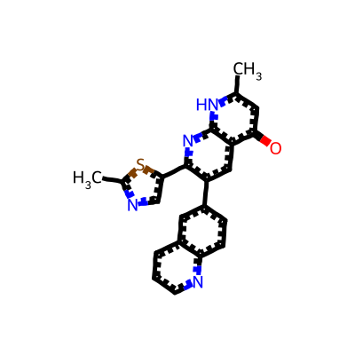 Cc1cc(=O)c2cc(-c3ccc4ncccc4c3)c(-c3cnc(C)s3)nc2[nH]1